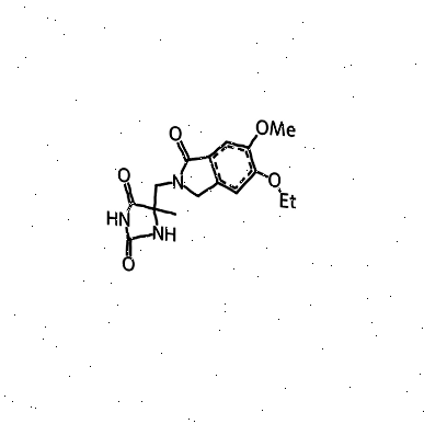 CCOc1cc2c(cc1OC)C(=O)N(CC1(C)NC(=O)NC1=O)C2